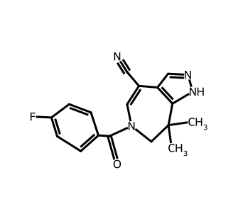 CC1(C)CN(C(=O)c2ccc(F)cc2)C=C(C#N)c2cn[nH]c21